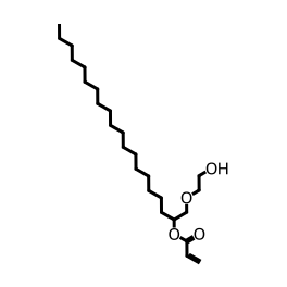 C=CC(=O)OC(CCCCCCCCCCCCCCCCCC)COCCO